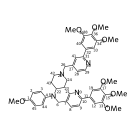 COc1ccc(N(Cc2ccc(-c3cc(OC)c(OC)c(OC)c3)nc2)C2CCN(Cc3ccnc(-c4cc(OC)c(OC)c(OC)c4)c3)CC2)cc1